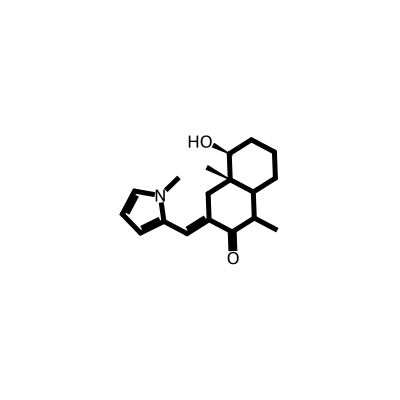 CC1C(=O)C(=Cc2cccn2C)C[C@@]2(C)C1CCC[C@@H]2O